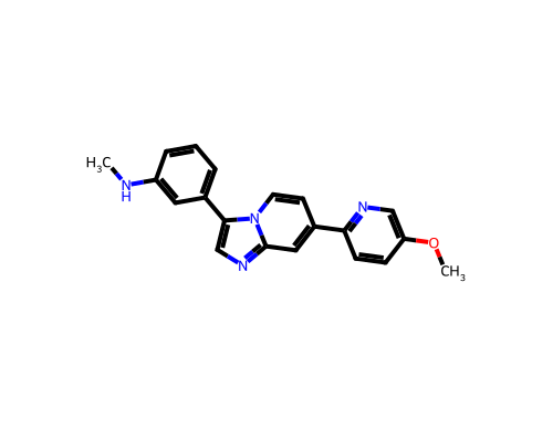 CNc1cccc(-c2cnc3cc(-c4ccc(OC)cn4)ccn23)c1